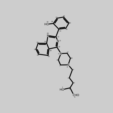 O=CC(O)CCCN1CCN(c2nc(-c3ccccc3O)nc3ccccc23)CC1